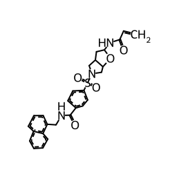 C=CC(=O)NC1CC2CN(S(=O)(=O)c3ccc(C(=O)NCc4cccc5ccccc45)cc3)CC2O1